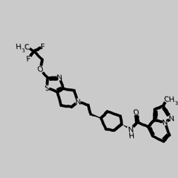 Cc1cc2c(C(=O)N[C@H]3CC[C@H](CCN4CCc5sc(OCC(C)(F)F)nc5C4)CC3)cccn2n1